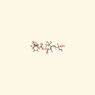 C=CC(C)(O)C=CC1=C(C)C(=O)[C@H](OC(=O)C23CCC(C)(C(=O)O2)C3(C)C)CC1(C)C